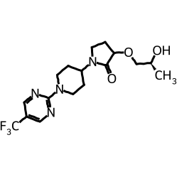 C[C@H](O)COC1CCN(C2CCN(c3ncc(C(F)(F)F)cn3)CC2)C1=O